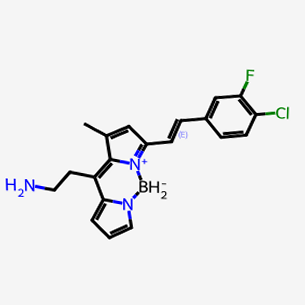 CC1=CC(/C=C/c2ccc(Cl)c(F)c2)=[N+]2[BH2-]n3cccc3C(CCN)=C12